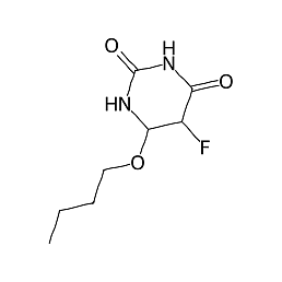 CCCCOC1NC(=O)NC(=O)C1F